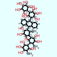 Bc1c(O)c(O)c(O)c(-c2c(B)c(O)c(O)c3c2oc2c(O)c(O)c(-c4c5ccccc5c(-c5c(O)c(O)c(O)c(-c6c(O)c(O)c(O)c(O)c6O)c5O)c5ccccc45)c(B)c23)c1O